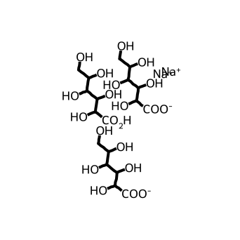 O=C(O)C(O)C(O)C(O)C(O)CO.O=C([O-])C(O)C(O)C(O)C(O)CO.O=C([O-])C(O)C(O)C(O)C(O)CO.[Na+].[Na+]